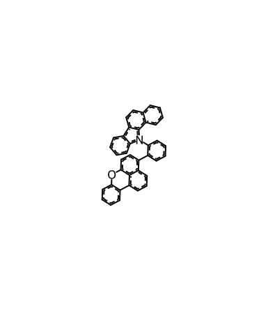 c1ccc2c(c1)Oc1ccc(-c3ccccc3-n3c4ccccc4c4ccc5ccccc5c43)c3cccc-2c13